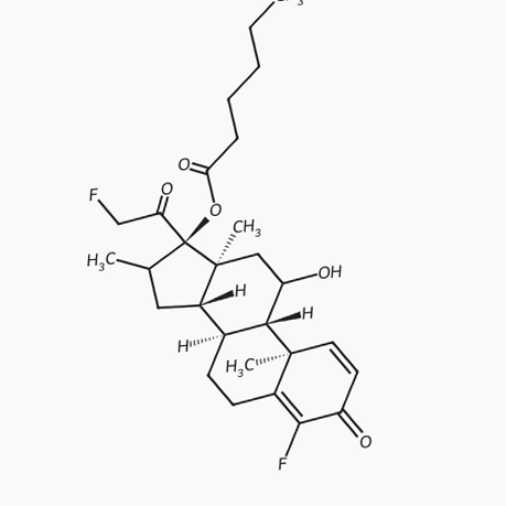 CCCCCC(=O)O[C@]1(C(=O)CF)C(C)C[C@H]2[C@@H]3CCC4=C(F)C(=O)C=C[C@]4(C)[C@H]3C(O)C[C@@]21C